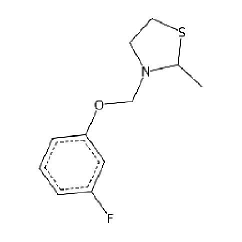 CC1SCCN1COc1cccc(F)c1